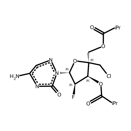 CC(C)C(=O)OC[C@@]1(CCl)O[C@@H](n2ncc(N)nc2=O)[C@H](F)[C@@H]1OC(=O)C(C)C